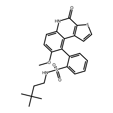 COc1ccc2[nH]c(=O)c3sccc3c2c1-c1ccccc1S(=O)(=O)NCCC(C)(C)C